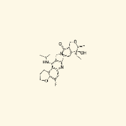 C=C1OCc2c(cc3n(c2=O)Cc2c-3nc3cc(F)c4c(c3c2NC(C)C)CCCO4)[C@@]1(O)CC